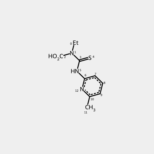 CCN(C(=O)O)C(=S)Nc1cccc(C)n1